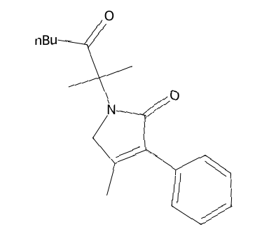 CCCCC(=O)C(C)(C)N1CC(C)=C(c2ccccc2)C1=O